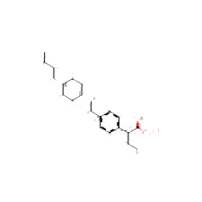 CCCC[C@H]1CC[C@H](CCc2ccc(C(CC)C(=O)O)cc2)CC1